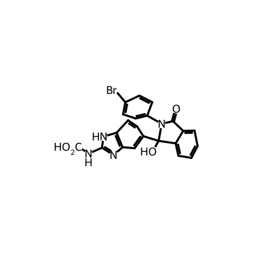 O=C(O)Nc1nc2cc(C3(O)c4ccccc4C(=O)N3c3ccc(Br)cc3)ccc2[nH]1